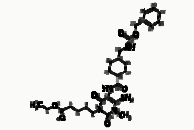 CCOC(=O)CCCCn1c(=O)c(NC(=O)[C@H]2CC[C@H](CNC(=O)OCc3ccccc3)CC2)c(N)n(C)c1=O